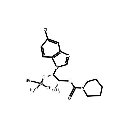 C[C@@H](OC(=O)N1CCCCC1)[C@H](O[Si](C)(C)C(C)(C)C)n1cnc2cc(Cl)ccc21